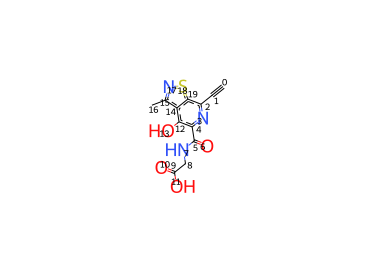 C#Cc1nc(C(=O)NCC(=O)O)c(O)c2c(C)nsc12